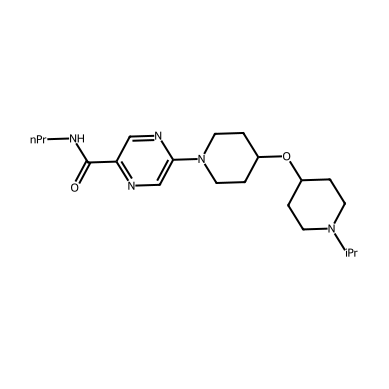 CCCNC(=O)c1cnc(N2CCC(OC3CCN(C(C)C)CC3)CC2)cn1